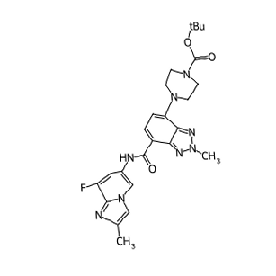 Cc1cn2cc(NC(=O)c3ccc(N4CCN(C(=O)OC(C)(C)C)CC4)c4nn(C)nc34)cc(F)c2n1